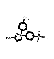 Cc1ccc([Si]2(c3ccc(S(N)(=O)=O)cc3)C=CC(C(F)(F)F)=N2)cc1